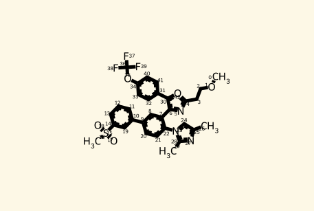 COCCc1nc(-c2cc(-c3cccc(S(C)(=O)=O)c3)ccc2-n2cc(C)nc2C)c(-c2ccc(OC(F)(F)F)cc2)o1